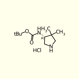 CC(C)(C)OC(=O)N[C@H]1CNCC1(C)C.Cl